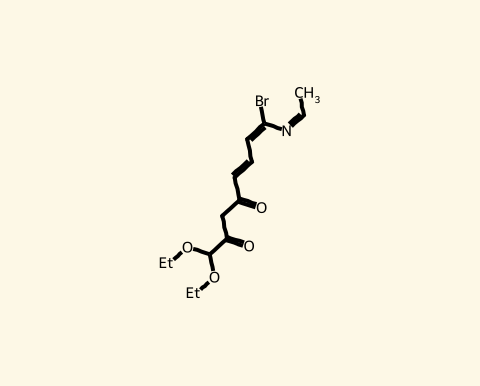 C\C=N/C(Br)=C\C=C\C(=O)CC(=O)C(OCC)OCC